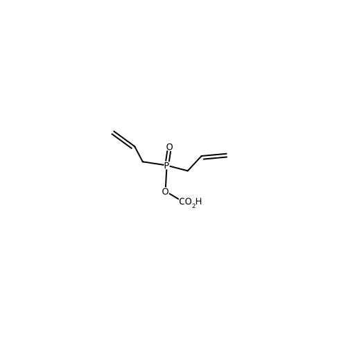 C=CCP(=O)(CC=C)OC(=O)O